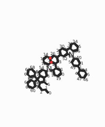 C=C/C=C\C1=C(C)c2cc(N(c3ccccc3)c3ccccc3-c3cccc(-c4ccc5c6ccccc6n(-c6ccc(-c7ccccc7)cc6)c5c4)c3)ccc2C1(c1ccccc1)c1ccccc1